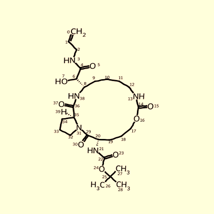 C=CCNC(=O)C(O)[C@@H]1CCCCNC(=O)OCCC[C@H](NC(=O)OC(C)(C)C)C(=O)N2CCC[C@H]2C(=O)N1